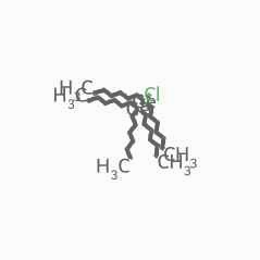 CCCCCC[CH2][Ge]([Cl])([CH2]CCCCCC)[Ge]([CH2]CCCCCC)([CH2]CCCCCC)[CH2]CCCCCC